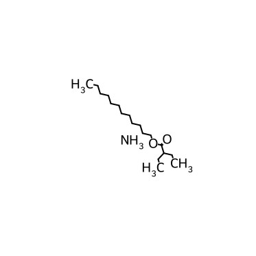 CCCCCCCCCCCCOC(=O)C(CC)CC.N